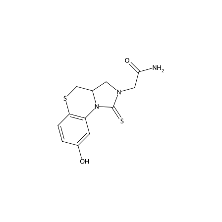 NC(=O)CN1CC2CSc3ccc(O)cc3N2C1=S